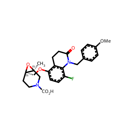 COc1ccc(CN2C(=O)CCc3c(OC[C@@]45CCN(C(=O)O)C[C@]4(C)O5)ccc(F)c32)cc1